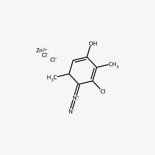 CC1=C(Cl)C(=[N+]=[N-])C(C)C=C1O.[Cl-].[Cl-].[Zn+2]